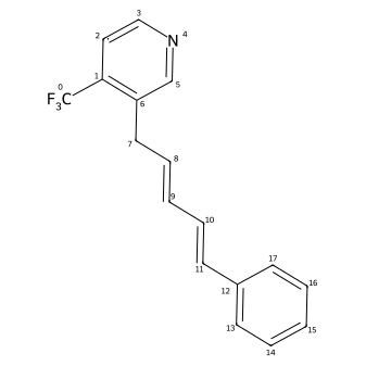 FC(F)(F)c1[c]cncc1CC=CC=Cc1ccccc1